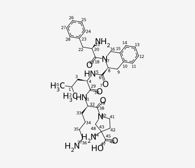 CC(C)C[C@@H](NC(=O)[C@@H]1Cc2ccccc2CN1C(=O)[C@H](N)Cc1ccccc1)C(=O)N[C@H](CCCCN)C(=O)N1CCC(N)(C(=O)O)C1